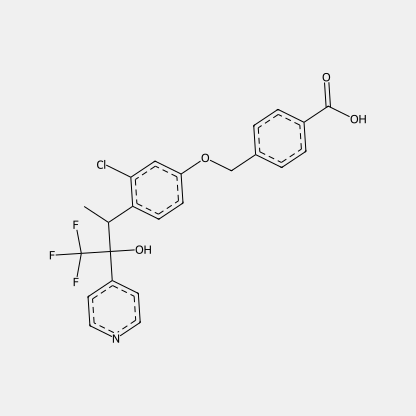 CC(c1ccc(OCc2ccc(C(=O)O)cc2)cc1Cl)C(O)(c1ccncc1)C(F)(F)F